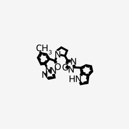 Cc1ccc(-n2nccn2)c(C(=O)N2CCCC2c2nc(-c3cccc4cc[nH]c34)no2)c1